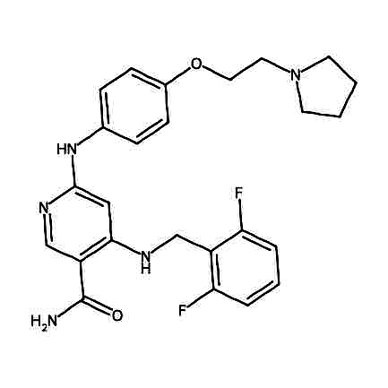 NC(=O)c1cnc(Nc2ccc(OCCN3CCCC3)cc2)cc1NCc1c(F)cccc1F